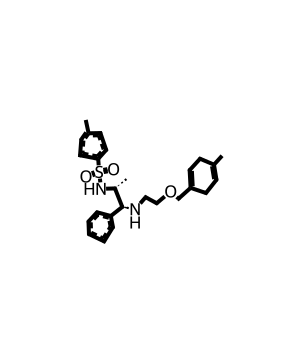 CC1=CCC(COCCN[C@H](c2ccccc2)[C@@H](C)NS(=O)(=O)c2ccc(C)cc2)=CC1